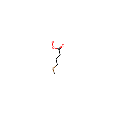 CSCCCC(=O)OO